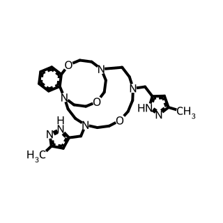 Cc1cc(CN2CCOCCN(Cc3cc(C)n[nH]3)CCN3CCOCCN(CCOc4ccccc43)CC2)[nH]n1